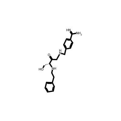 N=C(N)c1ccc(CNCC(=O)[C@@H](CO)NCCc2ccccc2)cc1